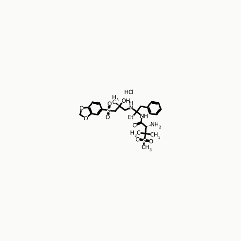 CCC(Cc1ccccc1)(NC[C@@](C)(O)CS(=O)(=O)c1ccc2c(c1)OCO2)NC(=O)[C@H](N)C(C)(C)S(C)(=O)=O.Cl